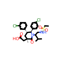 CCS(=O)(=O)NCC(C(C)C)N1C(=O)[C@@](C)(CC(=O)O)C[C@H](c2cccc(Cl)c2)[C@H]1c1ccc(Cl)cc1